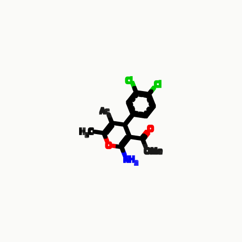 COC(=O)C1=C(N)OC(C)=C(C(C)=O)C1c1ccc(Cl)c(Cl)c1